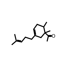 CC(=O)C1(C)CC(CCC=C(C)C)=CCC1C